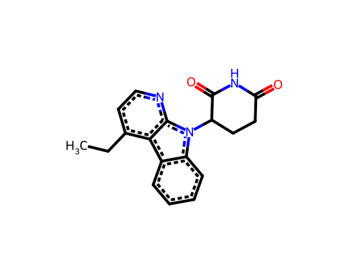 CCc1ccnc2c1c1ccccc1n2C1CCC(=O)NC1=O